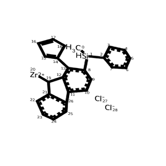 C[SiH](c1ccccc1)c1ccc2c(c1C1=CC=CC1)[CH]([Zr+2])c1ccccc1-2.[Cl-].[Cl-]